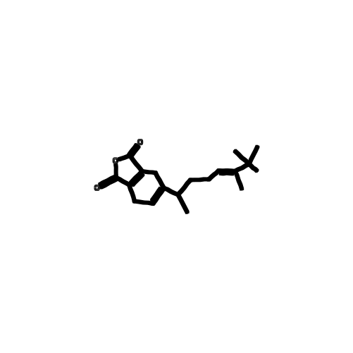 C/C(=C\CCC(C)C1=CCC2=C(C1)C(=O)OC2=O)C(C)(C)C